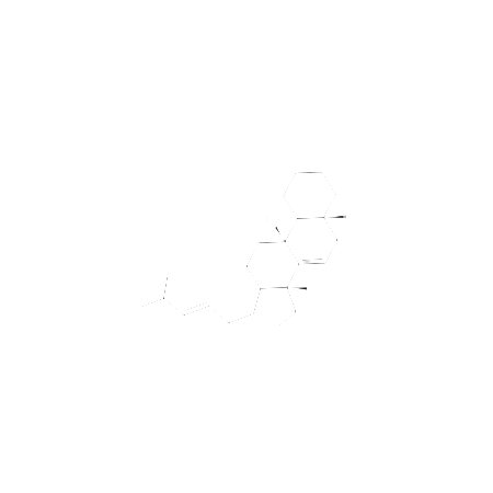 CC(C)/C=C/[C@@H](C)[C@H]1CC[C@H]2C3=CC[C@H]4C[C@@H](O)CC[C@]4(C)[C@H]3CC[C@]12C